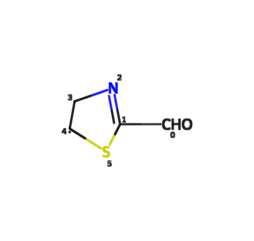 O=CC1=NC[CH]S1